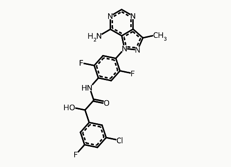 Cc1nn(-c2cc(F)c(NC(=O)C(O)c3cc(F)cc(Cl)c3)cc2F)c2c(N)ncnc12